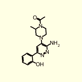 CC(=O)N1CCN(c2cc(-c3ccccc3O)nnc2N)CC1C